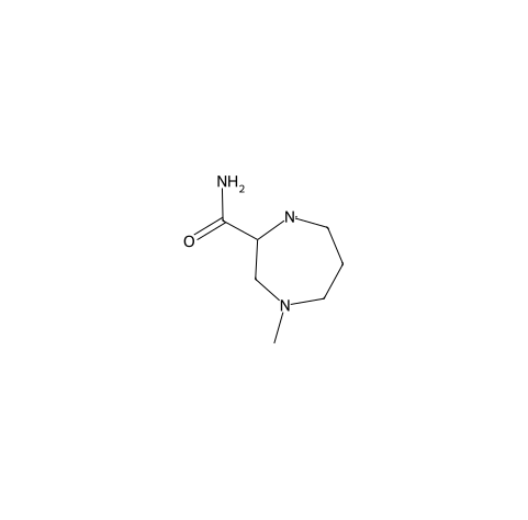 CN1CCC[N]C(C(N)=O)C1